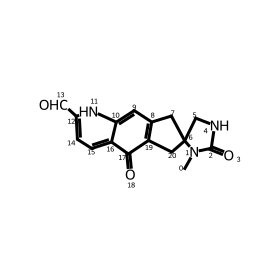 CN1C(=O)NCC12Cc1cc3[nH]c(C=O)ccc-3c(=O)c1C2